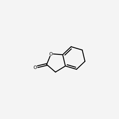 O=C1CC2=CCCC=C2O1